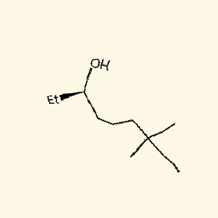 CC[C@@H](O)CCC(C)(C)C